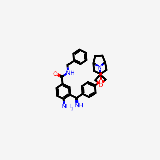 N=C(c1ccc(OC2CC3CCC(C2)N3C2COC2)cc1)c1cc(C(=O)NCc2ccccc2)ccc1N